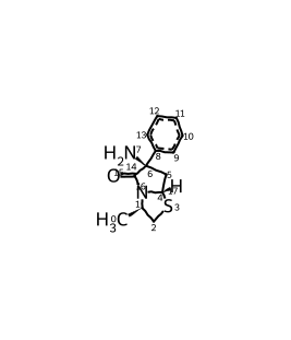 C[C@@H]1CS[C@H]2C[C@@](N)(c3ccccc3)C(=O)N12